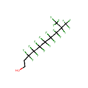 OCCC(F)(F)C(F)(F)C(F)(F)C(F)(F)C(F)(F)C(F)(F)C(F)(C(F)(F)F)C(F)(F)F